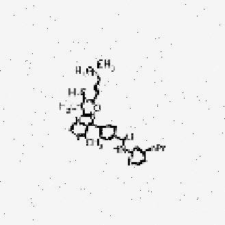 CCCc1ccnc(NC(=O)c2ccc(-c3nc([C@H](C)N(C)C(=O)/C=C/CN(C)C)n4ccnc(C)c34)cc2)c1